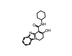 O=C(NC1CCCCC1)C1=C(O)CCn2c1nc1ccccc12